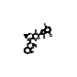 N#C[C@H](C[C@@H]1CCCNC1=O)NC(=O)[C@H](CC1CC1)NC(=O)c1cc2c(F)ccc(Cl)c2[nH]1